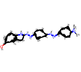 CCN(CC)c1ccc(N=Nc2ccc(N=NC3=Nc4ccc(O)cc4C3)cc2)cc1